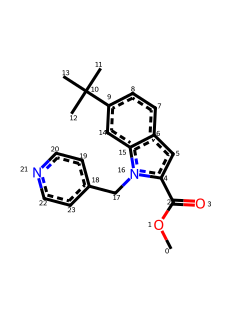 COC(=O)c1cc2ccc(C(C)(C)C)cc2n1Cc1ccncc1